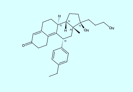 CCc1ccc([C@H]2C[C@]3(C)[C@@H](CC[C@]3(O)CCCO)[C@@H]3CCC4=CC(=O)CCC4=C32)cc1